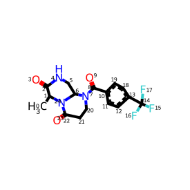 CC1C(=O)NCC2N(C(=O)c3ccc(C(F)(F)F)cc3)CCC(=O)N12